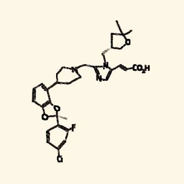 CC1(C)C[C@@H](Cn2c(/C=C/C(=O)O)cnc2CN2CCC(c3cccc4c3O[C@@](C)(c3ccc(Cl)cc3F)O4)CC2)CO1